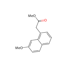 COC(=O)Cc1cccc2ccc(OC)cc12